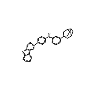 c1cc(Nc2ccc(-c3ccc4sc5ccccc5c4c3)cc2)cc(C23CC4CC(C2)C(C4)C3)c1